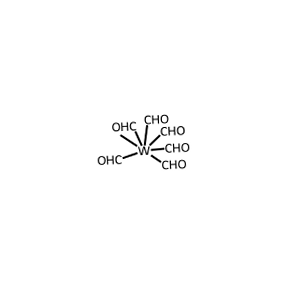 [CH3][W]([CH]=O)([CH]=O)([CH]=O)([CH]=O)([CH]=O)[CH]=O